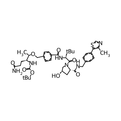 Cc1ncsc1-c1ccc(CNC(=O)[C@@H]2C[C@@H](O)CN2C(=O)[C@@H](NC(=O)c2ccc(CO[C@H](C)[C@H](CCC(N)=O)NC(=O)OC(C)(C)C)cc2)C(C)(C)C)cc1